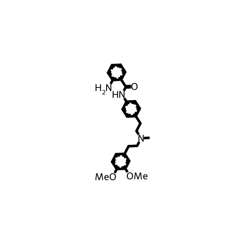 COc1ccc(CCN(C)CCc2ccc(NC(=O)c3ccccc3N)cc2)cc1OC